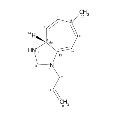 C=CCN1CN[C@@H]2C=CC(C)=CC=C21